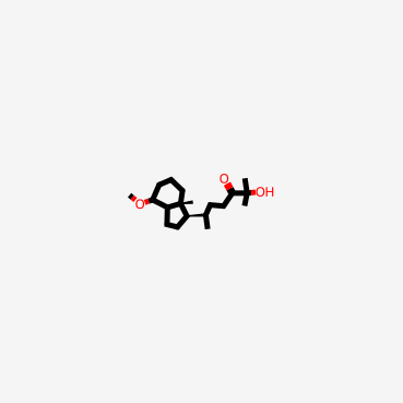 COC1CCC[C@@]2(C)C1CC[C@@H]2C(C)CCC(=O)C(C)(C)O